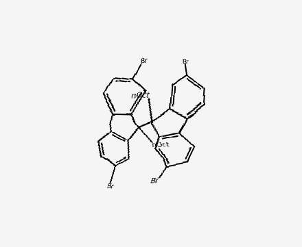 CCCCCCCCC1(C2(CCCCCCCC)c3cc(Br)ccc3-c3ccc(Br)cc32)c2cc(Br)ccc2-c2ccc(Br)cc21